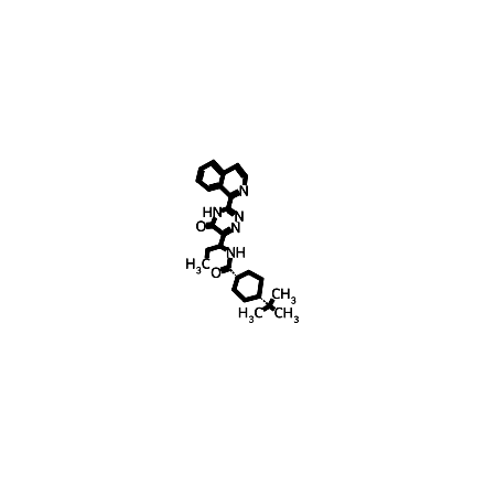 CCC(NC(=O)[C@H]1CC[C@@H](C(C)(C)C)CC1)c1nnc(-c2nccc3ccccc23)[nH]c1=O